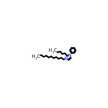 CCCCCCCCCCCN1C=CN(c2ccccc2)C1CCCCC